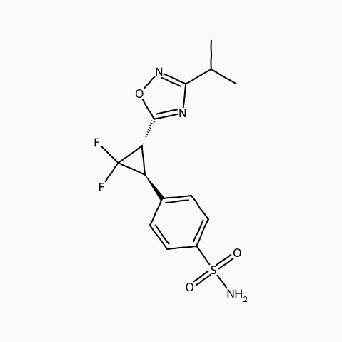 CC(C)c1noc([C@@H]2[C@@H](c3ccc(S(N)(=O)=O)cc3)C2(F)F)n1